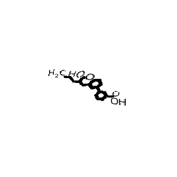 C=CCCC(Cc1cccc(-c2cccc(C(=O)O)c2)c1)C(=O)O